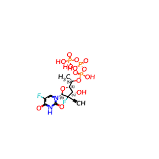 C#CC1(F)[C@@H](O)[C@@H]([C@H](C)OP(=O)(O)OP(=O)(O)OP(=O)(O)O)O[C@H]1n1cc(F)c(=O)[nH]c1=O